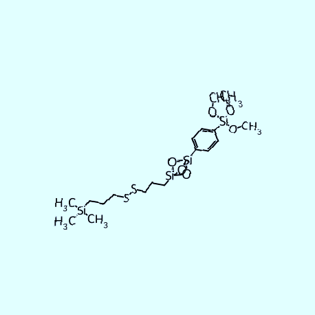 CO[Si](OC)(OC)c1ccc([Si]23O[Si](CCCSSCCC[Si](C)(C)C)(O2)O3)cc1